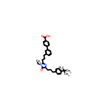 CCN1C(=O)C(CCCc2ccc(C(C)(C)C)cc2)N=C1CCCc1cccc(-c2ccc(C(=O)O)cc2)c1